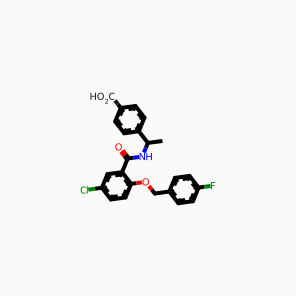 CC(NC(=O)c1cc(Cl)ccc1OCc1ccc(F)cc1)c1ccc(C(=O)O)cc1